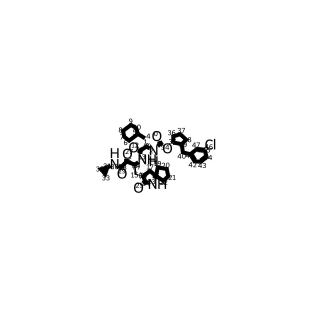 O=C(N[C@@H](CC1CCCCC1)C(=O)N[C@@H](C[C@@H]1CC2(CCCC2)NC1=O)C(=O)C(=O)NC1CC1)OC1CCCC1Cc1cccc(Cl)c1